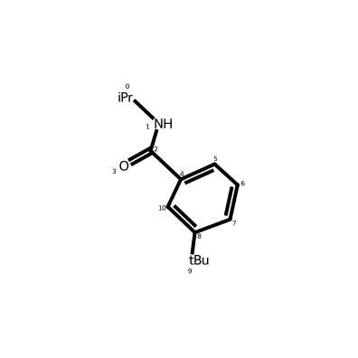 CC(C)NC(=O)c1cccc(C(C)(C)C)c1